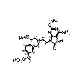 CCCCOc1nc(N)c2[nH]c(=O)n(CCN(CCOC)Cc3cccc(C(C)C(=O)O)c3)c2n1